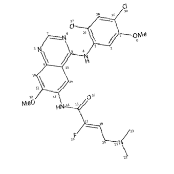 COc1cc(Nc2ncnc3cc(OC)c(NC(=O)C(F)=CCN(C)C)cc23)c(Cl)cc1Cl